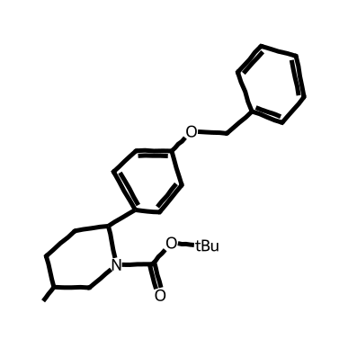 CC1CCC(c2ccc(OCc3ccccc3)cc2)N(C(=O)OC(C)(C)C)C1